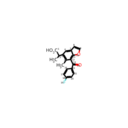 Cc1c(C(C)C(=O)O)cc2ccoc2c1C(=O)c1ccc(F)cc1